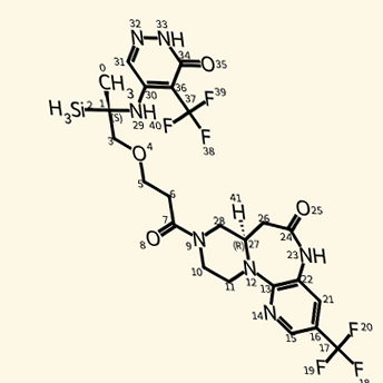 C[C@]([SiH3])(COCCC(=O)N1CCN2c3ncc(C(F)(F)F)cc3NC(=O)C[C@@H]2C1)Nc1cn[nH]c(=O)c1C(F)(F)F